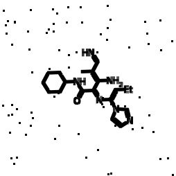 CC/C=C(/N=C(C(=O)NC1CCCCC1)\C(N)=C(/C)C=N)n1ccnc1